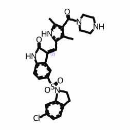 Cc1[nH]c(/C=C2\C(=O)Nc3ccc(S(=O)(=O)N4CCc5ccc(Cl)cc54)cc32)c(C)c1C(=O)N1CCNCC1